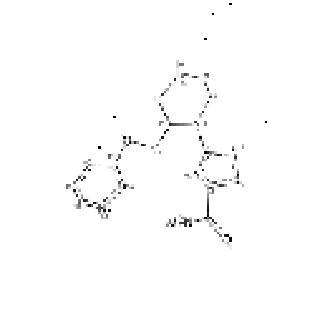 CNC(=O)c1csc(N2CCNCC2COc2cccnc2)n1